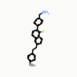 CCCCc1ccc(CCc2ccc3c(F)c(-c4ccc(CN)cc4)ccc3c2)cc1